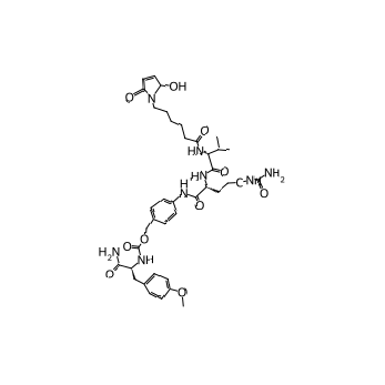 COc1ccc(C[C@H](NC(=O)OCc2ccc(NC(=O)[C@H](CCCNC(N)=O)NC(=O)[C@@H](NC(=O)CCCCCN3C(=O)C=CC3O)C(C)C)cc2)C(N)=O)cc1